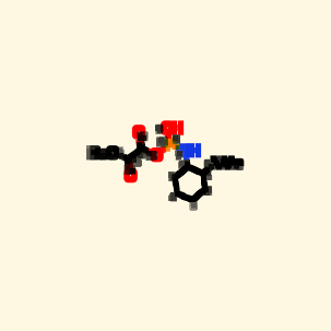 CNC1CCCCC1N[P@](O)OC(=O)C(=O)OCC(C)C